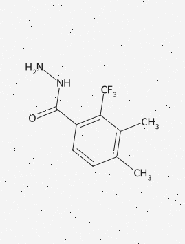 Cc1ccc(C(=O)NN)c(C(F)(F)F)c1C